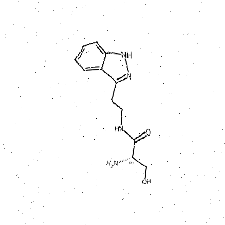 N[C@@H](CO)C(=O)NCCc1n[nH]c2ccccc12